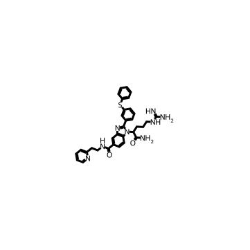 N=C(N)NCCCC(C(N)=O)n1c(-c2cccc(Sc3ccccc3)c2)nc2cc(C(=O)NCCc3ccccn3)ccc21